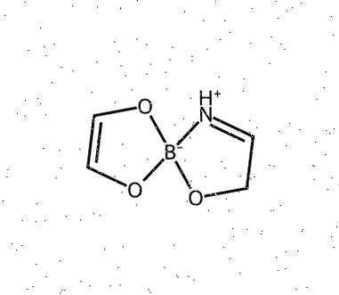 C1=CO[B-]2([NH+]=CCO2)O1